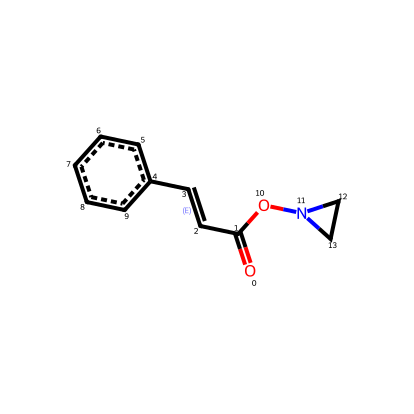 O=C(/C=C/c1ccccc1)ON1CC1